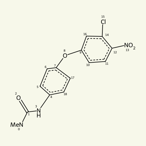 CNC(=O)Nc1ccc(Oc2ccc([N+](=O)[O-])c(Cl)c2)cc1